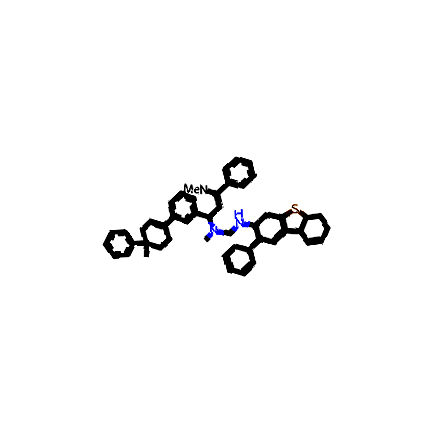 CNC(CC(c1cccc(C2=CCC(C)(c3ccccc3)CC2)c1)N(C)CNC1CC2SC3CCC=CC3C2=CC1C1C=CC=CC1)c1ccccc1